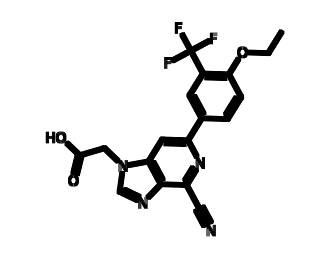 CCOc1ccc(-c2cc3c(ncn3CC(=O)O)c(C#N)n2)cc1C(F)(F)F